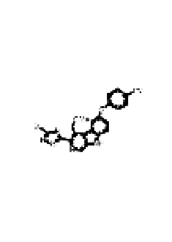 CCc1noc(-c2ncc3[nH]c4ccc(Oc5ccc(C#N)cc5)cc4c3c2COC)n1